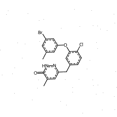 Cc1cc(Br)cc(Oc2cc(Cc3cc(C)c(=O)[nH]n3)ccc2Cl)c1